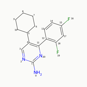 Nc1ncc(C2CCCCC2)c(-c2ccc(F)cc2F)n1